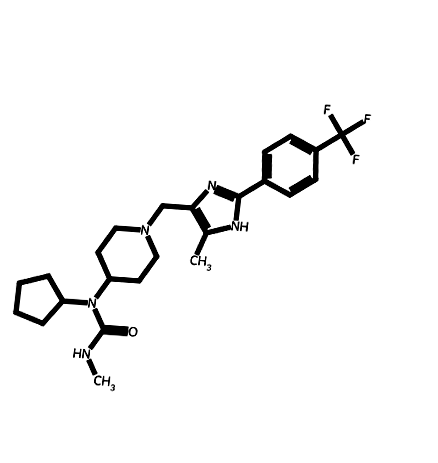 CNC(=O)N(C1CCCC1)C1CCN(Cc2nc(-c3ccc(C(F)(F)F)cc3)[nH]c2C)CC1